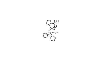 CCCC(OC(=O)c1ccccc1C(=O)O)(c1ccccc1)c1ccccc1